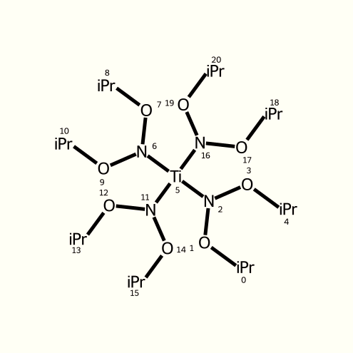 CC(C)O[N](OC(C)C)[Ti]([N](OC(C)C)OC(C)C)([N](OC(C)C)OC(C)C)[N](OC(C)C)OC(C)C